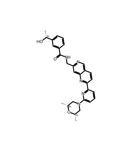 C[C@@H]1CN(c2cccc(-c3ccc4cnc(CNC(=O)c5cccc([C@@H](C)O)c5)cc4n3)n2)C[C@H](C)O1